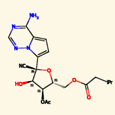 CC(=O)O[C@H]1[C@@H](O)[C@](C#N)(c2ccc3c(N)ncnn23)O[C@@H]1COC(=O)CC(C)C